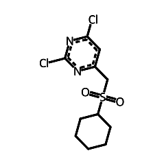 O=S(=O)(Cc1cc(Cl)nc(Cl)n1)C1CCCCC1